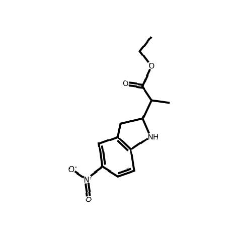 CCOC(=O)C(C)C1Cc2cc([N+](=O)[O-])ccc2N1